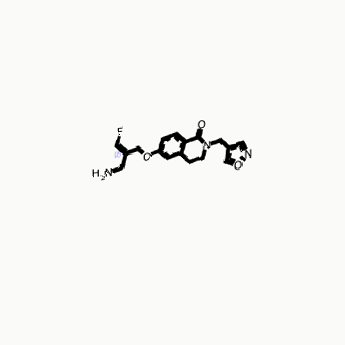 NC/C(=C/F)COc1ccc2c(c1)CCN(Cc1cnoc1)C2=O